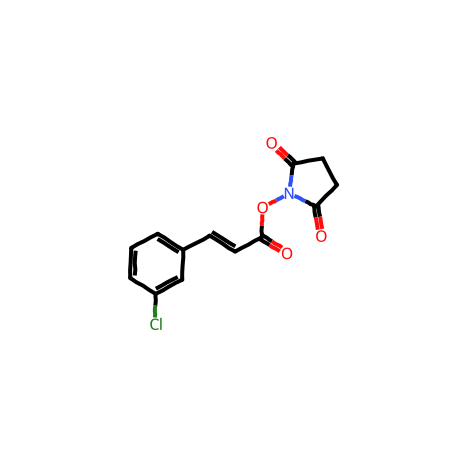 O=C(C=Cc1cccc(Cl)c1)ON1C(=O)CCC1=O